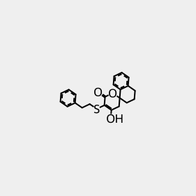 O=C1OC2(CCCc3ccccc32)CC(O)=C1SCCc1ccccc1